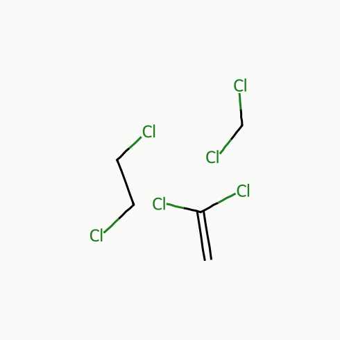 C=C(Cl)Cl.ClCCCl.ClCCl